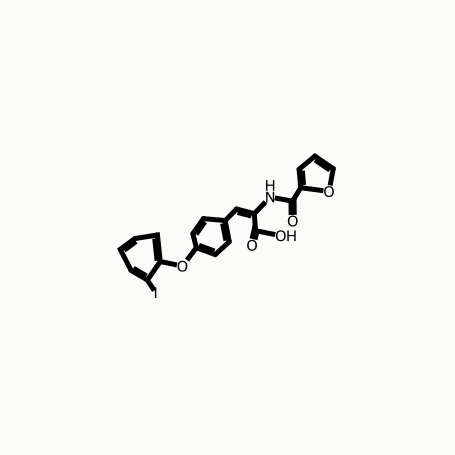 O=C(O)/C(=C\c1ccc(Oc2ccccc2I)cc1)NC(=O)c1ccco1